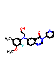 COc1cc(C)cc(N(CCO)c2ccc3ncn(-c4cccnc4)c(=O)c3c2)c1F